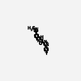 Cn1cc(-c2ccc3cnc(NC(=O)c4cc(N5CCN(I)CC5)ncn4)cc3c2)cn1